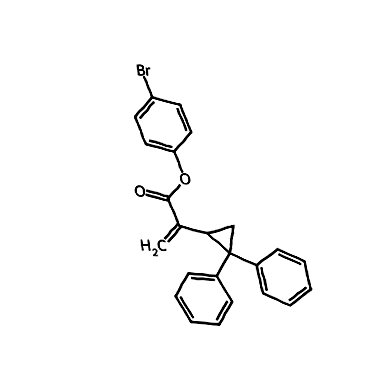 C=C(C(=O)Oc1ccc(Br)cc1)C1CC1(c1ccccc1)c1ccccc1